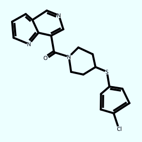 O=C(c1cncc2cccnc12)N1CCC(Sc2ccc(Cl)cc2)CC1